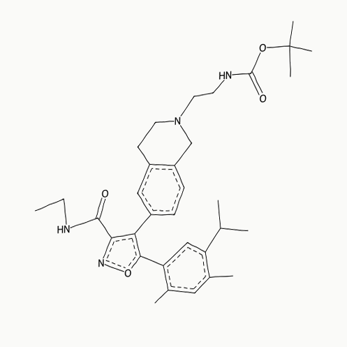 CCNC(=O)c1noc(-c2cc(C(C)C)c(C)cc2C)c1-c1ccc2c(c1)CCN(CCNC(=O)OC(C)(C)C)C2